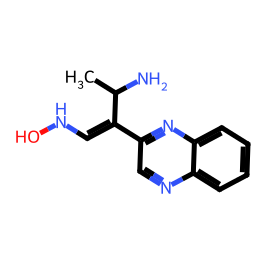 CC(N)/C(=C\NO)c1cnc2ccccc2n1